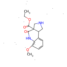 CCOC(=O)C12CNCC1c1cccc(OC)c1NC2=O